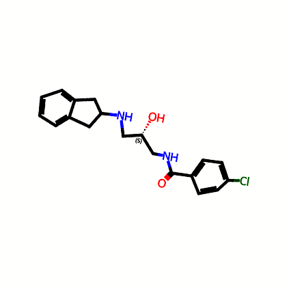 O=C(NC[C@@H](O)CNC1Cc2ccccc2C1)c1ccc(Cl)cc1